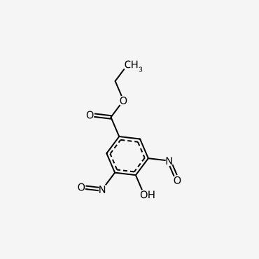 CCOC(=O)c1cc(N=O)c(O)c(N=O)c1